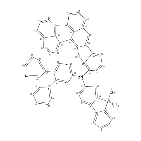 CC1(C)c2ccccc2-c2ccc(N(c3ccc4c5ccccc5c5ccccc5c4c3)c3cccc4c3oc3c(-c5cccc6ccccc56)c5ccccc5cc34)cc21